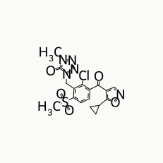 Cn1nnn(Cc2c(S(C)(=O)=O)ccc(C(=O)c3cnoc3C3CC3)c2Cl)c1=O